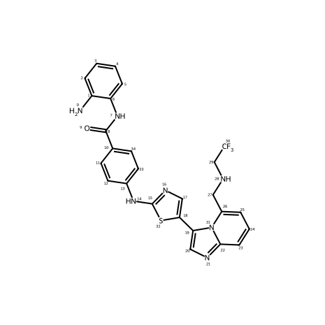 Nc1ccccc1NC(=O)c1ccc(Nc2ncc(-c3cnc4cccc(CNCC(F)(F)F)n34)s2)cc1